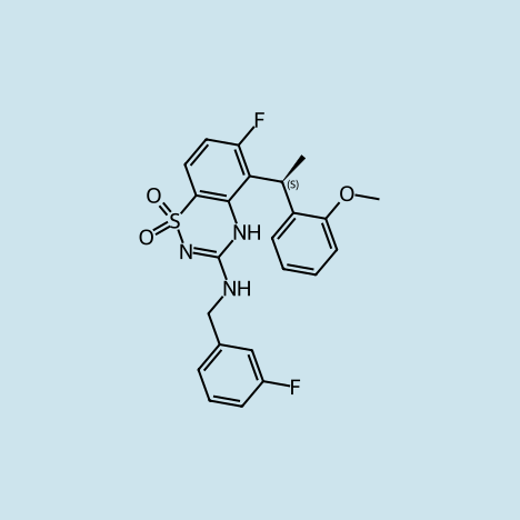 COc1ccccc1[C@H](C)c1c(F)ccc2c1NC(NCc1cccc(F)c1)=NS2(=O)=O